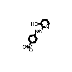 O=[N+]([O-])c1ccc(N=Nc2ncccc2O)cc1